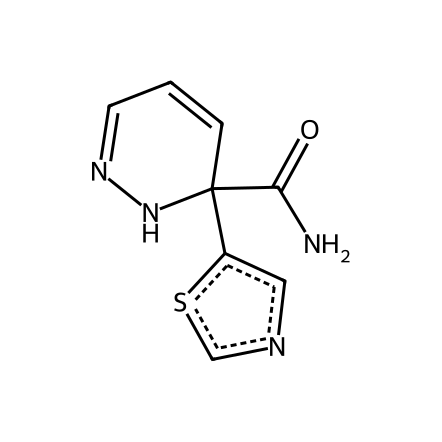 NC(=O)C1(c2cncs2)C=CC=NN1